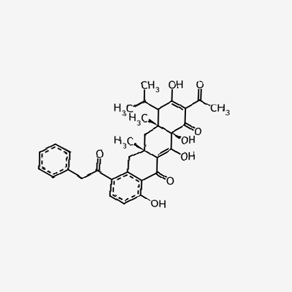 CC(=O)C1=C(O)C(C(C)C)[C@@]2(C)C[C@@]3(C)Cc4c(C(=O)Cc5ccccc5)ccc(O)c4C(=O)C3=C(O)[C@@]2(O)C1=O